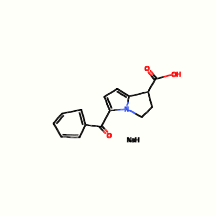 O=C(c1ccccc1)c1ccc2n1CCC2C(=O)O.[NaH]